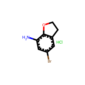 Cl.Nc1cc(Br)cc2c1OCC2